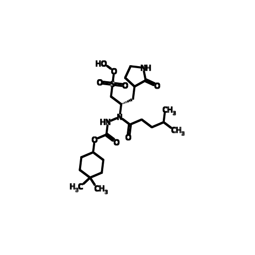 CC(C)CCC(=O)N(NC(=O)OC1CCC(C)(C)CC1)[C@@H](CC1CCNC1=O)CS(=O)(=O)OO